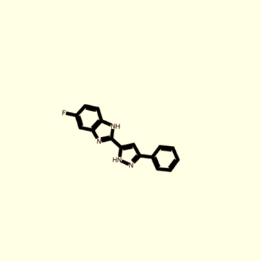 Fc1ccc2[nH]c(-c3cc(-c4ccccc4)n[nH]3)nc2c1